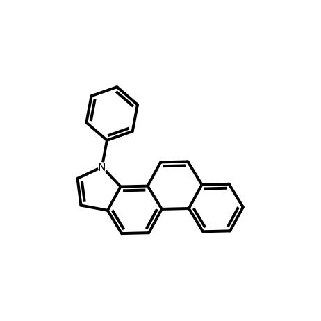 c1ccc(-n2ccc3ccc4c5ccccc5ccc4c32)cc1